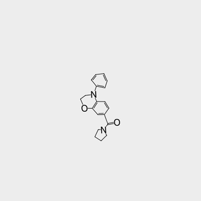 O=C(c1ccc2c(c1)OCCN2c1ccccc1)N1CCCC1